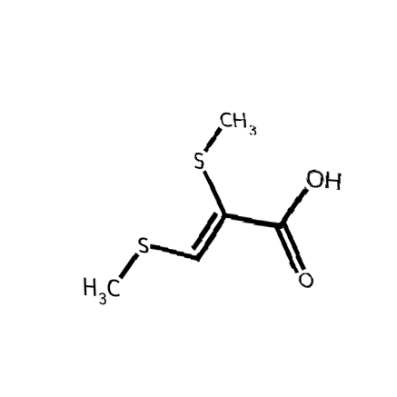 CSC=C(SC)C(=O)O